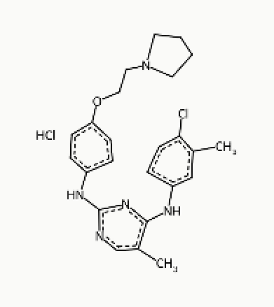 Cc1cc(Nc2nc(Nc3ccc(OCCN4CCCC4)cc3)ncc2C)ccc1Cl.Cl